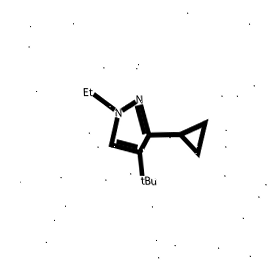 CCn1cc(C(C)(C)C)c(C2CC2)n1